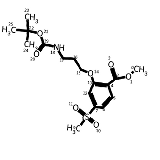 COC(=O)c1ccc(S(C)(=O)=O)cc1OCCCNC(=O)OC(C)(C)C